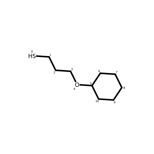 SCCCOC1CCCCC1